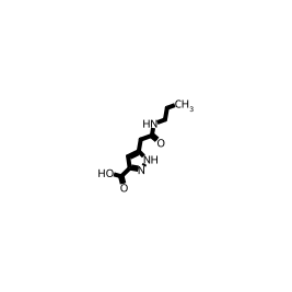 CCCNC(=O)Cc1cc(C(=O)O)n[nH]1